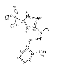 CN(N=Cc1ccccc1O)c1nc(C(Cl)(Cl)Cl)ns1